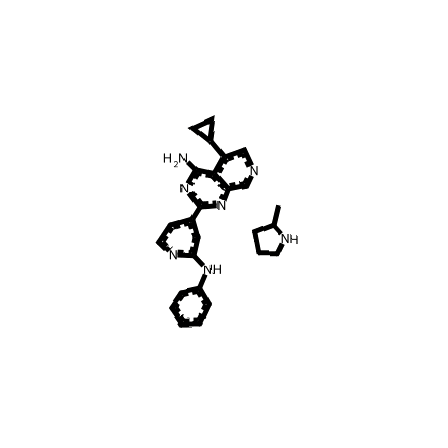 CC1CCCN1.Nc1nc(-c2ccnc(Nc3ccccc3)c2)nc2cncc(C3CC3)c12